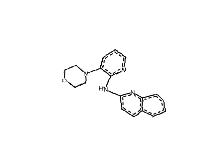 c1cnc(Nc2ccc3ccccc3n2)c(N2CCOCC2)c1